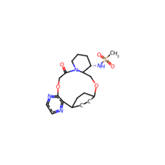 CS(=O)(=O)N[C@H]1CCCN2C(=O)COc3nccnc3C3CCC(CC3)OCC12